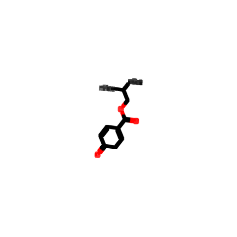 CCCCCCCCC(CCCCCC)COC(=O)C1=CCC(=O)C=C1